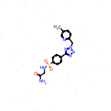 Cc1ccc(Cn2nnc(-c3ccc(S(=O)(=O)NCC(N)=O)cc3)n2)nc1